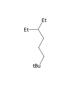 CCC(CC)CCCC(C)(C)C